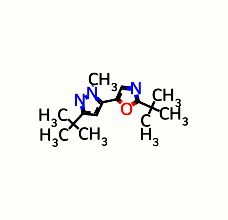 Cn1nc(C(C)(C)C)cc1-c1cnc(C(C)(C)C)o1